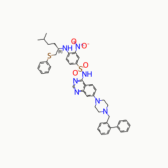 CC(C)CC[C@H](CSc1ccccc1)Nc1ccc(S(=O)(=O)Nc2ncnc3cc(N4CCN(Cc5ccccc5-c5ccccc5)CC4)ccc23)cc1[N+](=O)[O-]